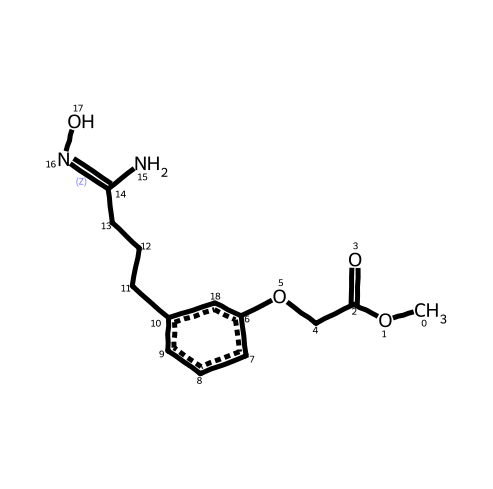 COC(=O)COc1cccc(CCC/C(N)=N/O)c1